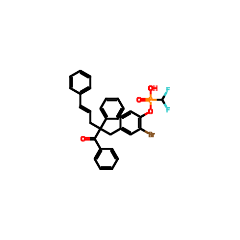 O=C(c1ccccc1)C(CC=Cc1ccccc1)(Cc1ccc(OP(=O)(O)C(F)F)c(Br)c1)c1ccccc1